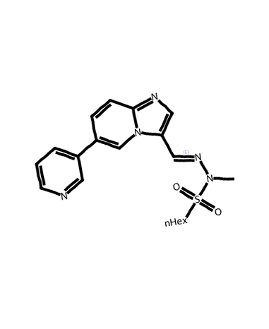 CCCCCCS(=O)(=O)N(C)/N=C/c1cnc2ccc(-c3cccnc3)cn12